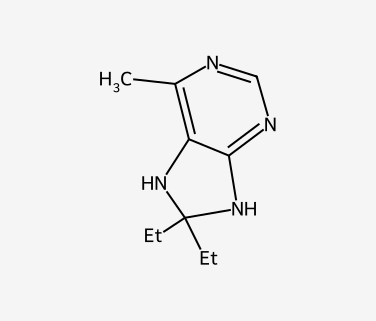 CCC1(CC)Nc2ncnc(C)c2N1